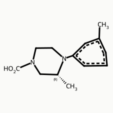 Cc1cccc(N2CCN(C(=O)O)C[C@H]2C)c1